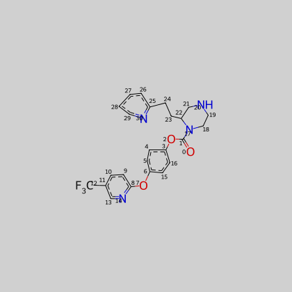 O=C(Oc1ccc(Oc2ccc(C(F)(F)F)cn2)cc1)N1CCNCC1CCc1ccccn1